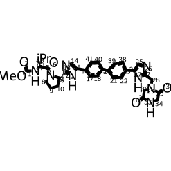 COC(=O)N[C@H](C(=O)N1CCC[C@H]1c1ncc(-c2ccc(-c3ccc(-c4cnc(CN5CC(=O)NCC5=O)[nH]4)cc3)cc2)[nH]1)C(C)C